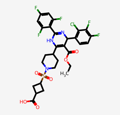 CCOC(=O)C1=C(C2CCN(S(=O)(=O)C3CC(C(=O)O)C3)CC2)NC(c2c(F)cc(F)cc2F)=NC1c1ccc(F)c(F)c1Cl